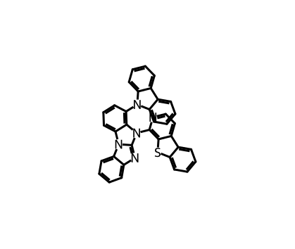 c1ccc2c(c1)nc1n(-c3nccc4c3sc3ccccc34)c3c(-n4c5ccccc5c5ccccc54)cccc3n21